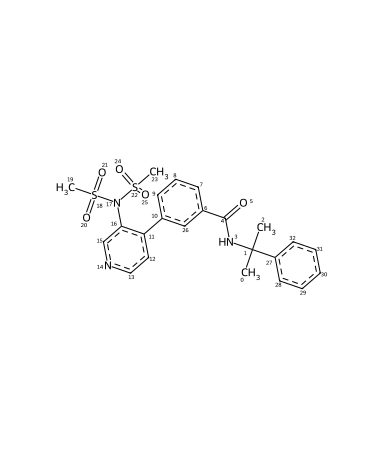 CC(C)(NC(=O)c1cccc(-c2ccncc2N(S(C)(=O)=O)S(C)(=O)=O)c1)c1ccccc1